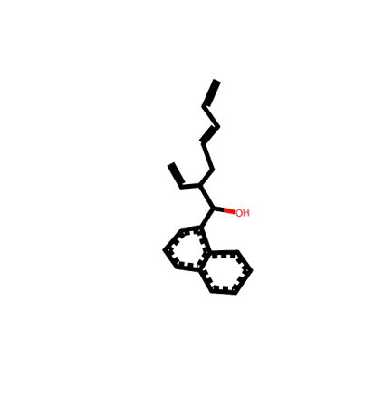 C=C/C=C/CC(C=C)C(O)c1cccc2ccccc12